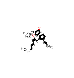 CCCCCC/C=C/[C@H]1CCC[C@@H]1C/C=C\CCCC(=O)O.C[Si](C)(C)O[C@H]1C=CC(=O)C1